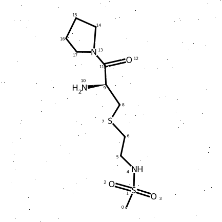 CS(=O)(=O)NCCSC[C@@H](N)C(=O)N1CCCC1